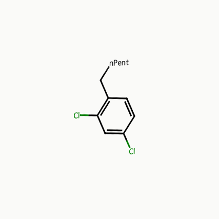 [CH2]CCCCCc1ccc(Cl)cc1Cl